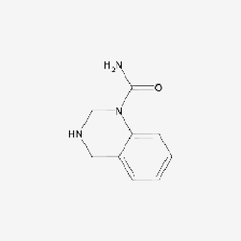 NC(=O)N1CNCc2ccccc21